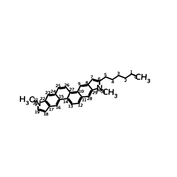 CCCCCCc1cc2cc3c(ccc4c5cc6ccn(C)c6cc5ccc34)cc2n1C